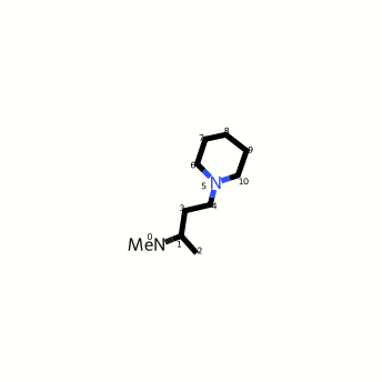 CNC(C)CCN1CCCCC1